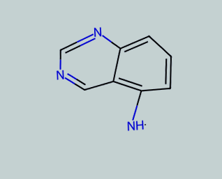 [NH]c1cccc2ncncc12